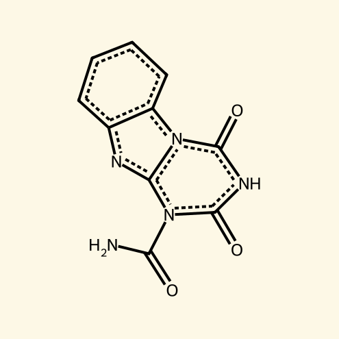 NC(=O)n1c(=O)[nH]c(=O)n2c3ccccc3nc12